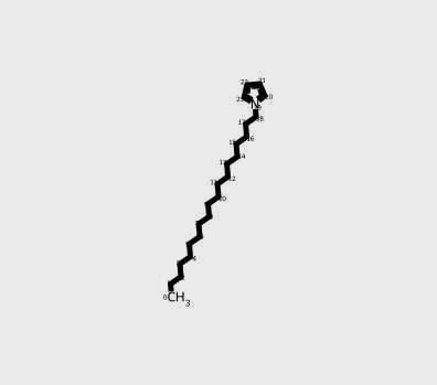 CCCCCCCCCCCCCCCCCCCn1cccc1